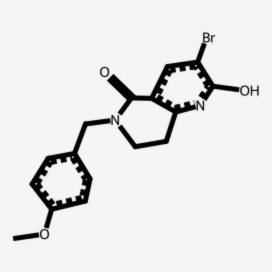 COc1ccc(CN2CCc3nc(O)c(Br)cc3C2=O)cc1